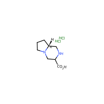 Cl.Cl.O=C(O)C1CN2CCC[C@@H]2CN1